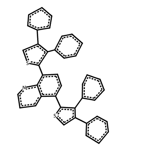 c1ccc(-c2csc(-c3ccc(-c4scc(-c5ccccc5)c4-c4ccccc4)c4ncccc34)c2-c2ccccc2)cc1